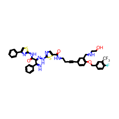 N=C(/C(=N\Nc1ncc(C(=O)NCCC#Cc2ccc(OCc3ccc(F)c(C(F)(F)F)c3)c(CNCCO)c2)s1)C(=O)Nc1nc(-c2ccccc2)cs1)c1ccccc1